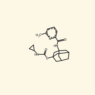 Cc1cccc(C(=O)NC23CC4CC(C2)CC(OC(=O)NC2CC2)(C4)C3)n1